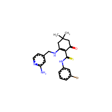 CC1(C)CC(=O)C(C(=S)Nc2cccc(Br)c2)=C(NCc2ccnc(N)c2)C1